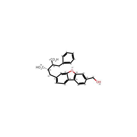 O=C(O)[C@@H](Cc1ccccc1)[C@H](Cc1ccc2c(c1)oc1cc(CO)ccc12)C(=O)O